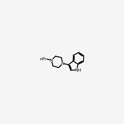 CCCN1CCN(c2c[nH]c3ccccc23)CC1